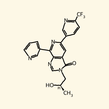 C[C@@H](O)Cn1cnc2c(-c3cccnc3)nc(-c3ccc(C(F)(F)F)nc3)cc2c1=O